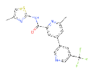 Cc1cc(-c2cncc(C(F)(F)F)c2)cc(C(=O)Nc2nc(C)cs2)n1